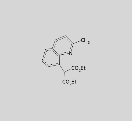 CCOC(=O)C(C(=O)OCC)c1cccc2ccc(C)nc12